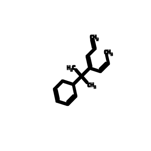 C=C/C=C(\C=C/C)C(C)(C)C1C=CC=CC1